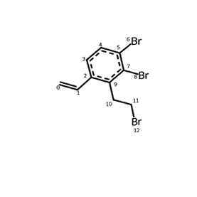 C=Cc1ccc(Br)c(Br)c1CCBr